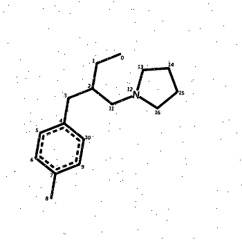 CCC(Cc1ccc(C)cc1)CN1CCCC1